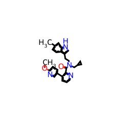 COc1ccc(-c2cccnc2C(=O)N(CCc2c[nH]c3cc(C)ccc23)CC2CC2)cn1